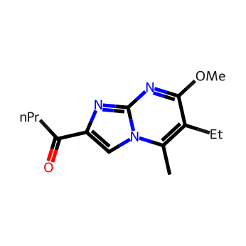 CCCC(=O)c1cn2c(C)c(CC)c(OC)nc2n1